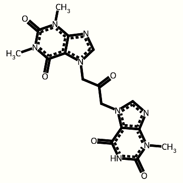 Cn1c(=O)c2c(ncn2CC(=O)Cn2cnc3c2c(=O)[nH]c(=O)n3C)n(C)c1=O